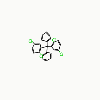 Clc1ccc(Cl)c(C(c2ccccc2)(c2ccccc2)c2cc(Cl)ccc2Cl)c1